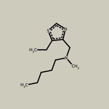 CCCCCN(C)Cc1ncsc1CC